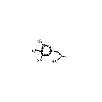 CN(C)Cc1cc([N+](=O)[O-])c(N)c(C(F)(F)F)c1